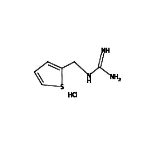 Cl.N=C(N)NCc1cccs1